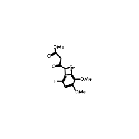 COC(=O)CC(=O)C1[Se]c2c(OC)c(OC)cc(F)c21